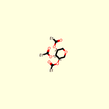 CCC(=O)O[C@@H]1[C@H](OC(=O)CC)[CH]OC[C@H]1OC(=O)CC